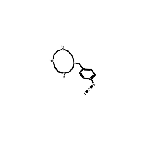 S=C=Nc1ccc(CN2CCNCCNCCNCC2)cc1